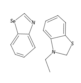 CCN1CSc2ccccc21.c1ccc2[se]cnc2c1